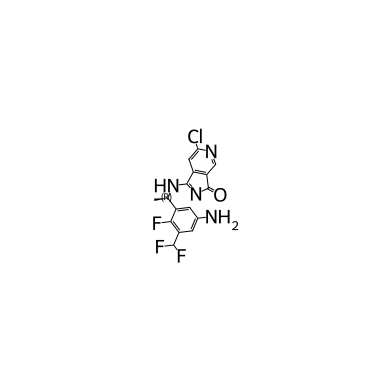 C[C@@H](NC1=NC(=O)c2cnc(Cl)cc21)c1cc(N)cc(C(F)F)c1F